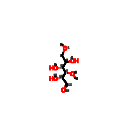 COC[C@@H](O)[C@@H](O)[C@H](OC)[C@@H](O)C=O